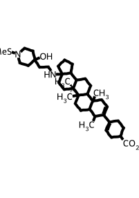 CSN1CCC(O)(CCNC23CCCC2C2CCC4C5(C)CC=C(C6=CCC(C(=O)O)CC6)C(C)C5CCC4(C)[C@]2(C)CC3)CC1